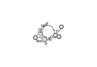 COC(=O)[C@@H]1C[C@@H]2CN1C(=O)[C@H](C1Cc3ccccc3C1)NC(=O)O[C@@H]1C[C@H]1CCC/C=C/c1c(nc3ccccc3c1OCc1ccccc1)O2